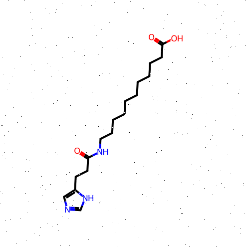 O=C(O)CCCCCCCCCCNC(=O)CCc1cnc[nH]1